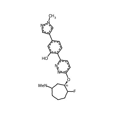 CNC1CCCC(F)[C@H](Oc2ccc(-c3ccc(-c4cnn(C)c4)cc3O)nn2)C1